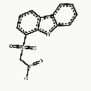 O=[N+]([O-])CS(=O)(=O)c1cccc2c1oc1ccccc12